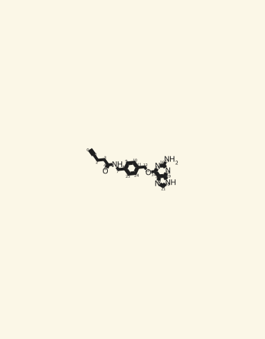 C#CCCC(=O)NCc1ccc(COc2nc(N)nc3[nH]cnc23)cc1